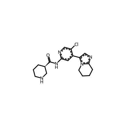 O=C(Nc1cc(-c2cnc3n2CCCC3)c(Cl)cn1)[C@@H]1CCCNC1